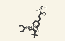 CCC(CC)NCc1c(C(C)(C)C)nc2cc(/C=C/C(=O)NO)ccn12